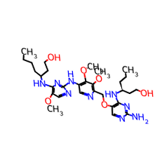 CCCCC(CCO)Nc1nc(Nc2cnc(COc3cnc(N)nc3N[C@@H](CCC)CCO)c(OC)c2OC)ncc1OC